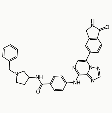 O=C(NC1CCN(Cc2ccccc2)C1)c1ccc(Nc2ncc(-c3ccc4c(c3)CNC4=O)n3ncnc23)cc1